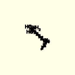 CCCCCC1(CCCCCCCC/C=C/C(O)C(N)CO)N=N1